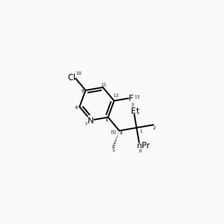 CCCC(C)(CC)[C@H](C)c1ncc(Cl)cc1F